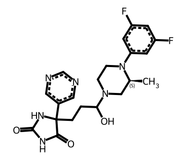 C[C@H]1CN(C(O)CCC2(c3cncnc3)NC(=O)NC2=O)CCN1c1cc(F)cc(F)c1